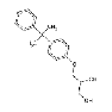 CC(C)(c1ccccc1)c1ccc(OCC(O)CO)cc1